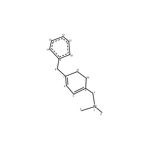 CN(C)CC1=CC=C(Cc2ccccc2)CC1